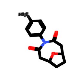 O=C(O)c1ccc(N2C(=O)CC3CCC(CC2=O)O3)cc1